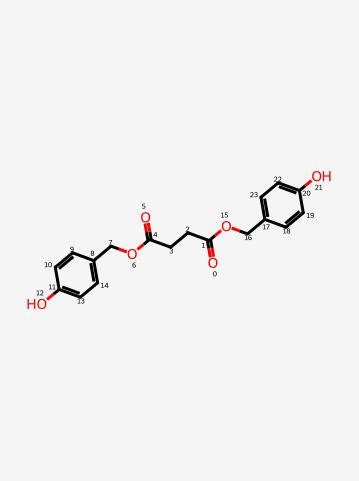 O=C(CCC(=O)OCc1ccc(O)cc1)OCc1ccc(O)cc1